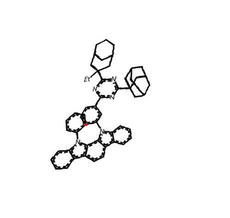 CCC1(c2nc(-c3cccc(-n4c5ccccc5c5ccc6c7ccccc7n(-c7ccccc7)c6c54)c3)nc(C34CC5CC(CC(C5)C3)C4)n2)CC2CCCC(C2)C1